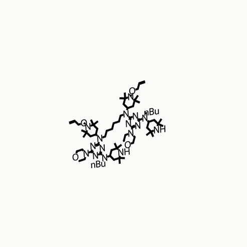 C=CCON1C(C)(C)CC(N(CCCCCCN(c2nc(N3CCOCC3)nc(N(CCCC)C3CC(C)(C)NC(C)(C)C3)n2)C2CC(C)(C)N(OCC=C)C(C)(C)C2)c2nc(N3CCOCC3)nc(N(CCCC)C3CC(C)(C)NC(C)(C)C3)n2)CC1(C)C